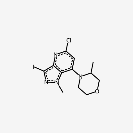 CC1COCCN1c1cc(Cl)nc2c(I)nn(C)c12